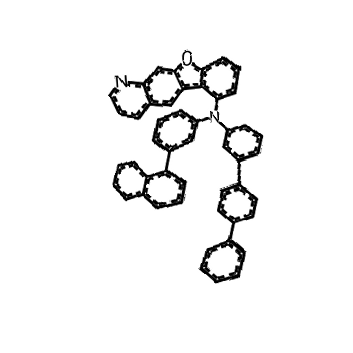 c1ccc(-c2ccc(-c3cccc(N(c4cccc(-c5cccc6ccccc56)c4)c4cccc5oc6cc7ncccc7cc6c45)c3)cc2)cc1